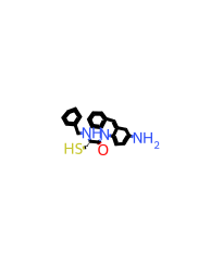 NC1=CC=C2C(=Cc3ccccc3N2C(=O)[C@H](CS)NCc2ccccc2)C1